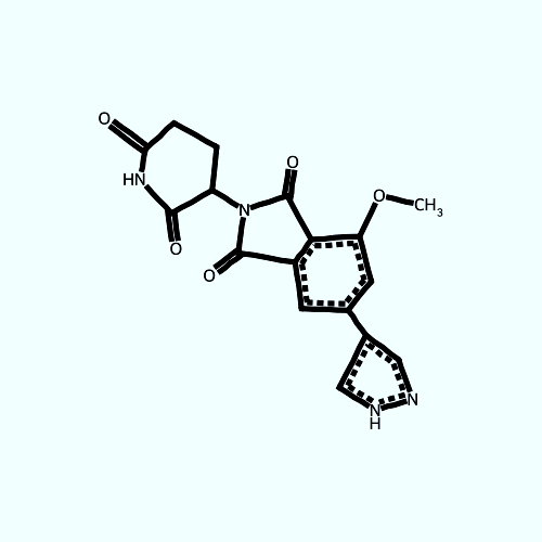 COc1cc(-c2cn[nH]c2)cc2c1C(=O)N(C1CCC(=O)NC1=O)C2=O